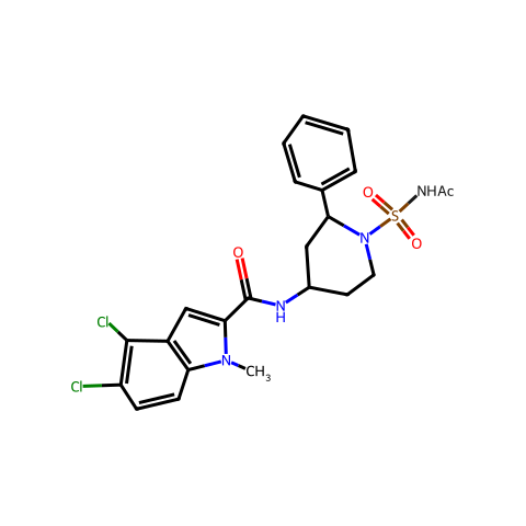 CC(=O)NS(=O)(=O)N1CCC(NC(=O)c2cc3c(Cl)c(Cl)ccc3n2C)CC1c1ccccc1